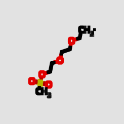 [CH2]COCCOCCOS(C)(=O)=O